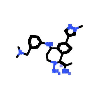 C/C(N)=C1\c2ccc(-c3cnn(C)c3)cc2C(Nc2cccc(CN(C)C)c2)CCN1N